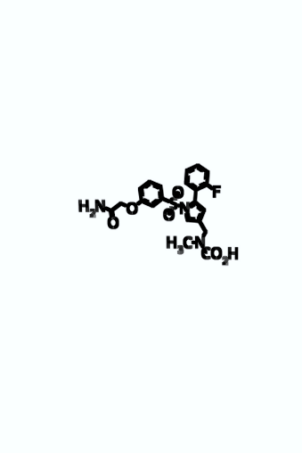 CN(Cc1cc(-c2ccccc2F)n(S(=O)(=O)c2cccc(OCC(N)=O)c2)c1)C(=O)O